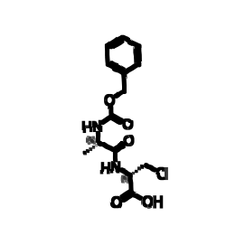 C[C@H](NC(=O)OCc1ccccc1)C(=O)N[C@H](CCl)C(=O)O